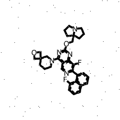 Fc1c(-c2cccc3cccc(F)c23)ncc2c(N3CCCC4(COC4)C3)nc(OCC34CCCN3CCC4)nc12